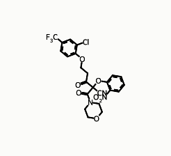 N#CC(Oc1ccccc1[N+](=O)[O-])(C(=O)CCOc1ccc(C(F)(F)F)cc1Cl)C(=O)N1CCOCC1